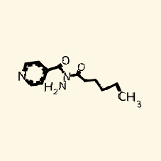 CCCCCC(=O)N(N)C(=O)c1ccncc1